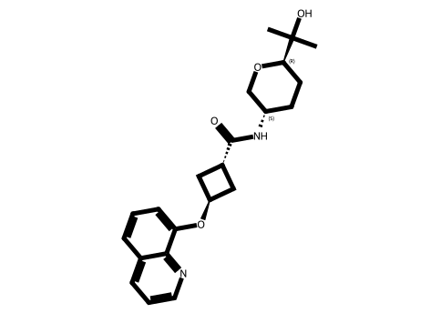 CC(C)(O)[C@H]1CC[C@H](NC(=O)[C@H]2C[C@H](Oc3cccc4cccnc34)C2)CO1